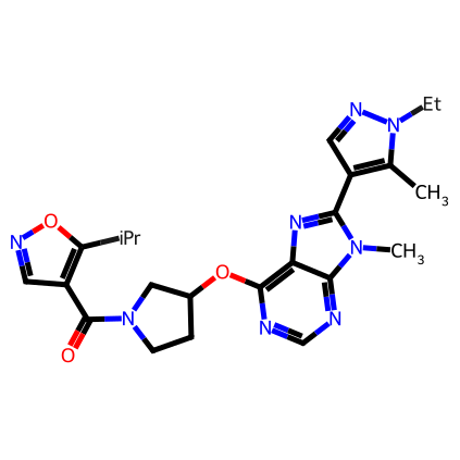 CCn1ncc(-c2nc3c(OC4CCN(C(=O)c5cnoc5C(C)C)C4)ncnc3n2C)c1C